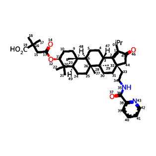 CC(C)C1=C2[C@H]3CC[C@@H]4[C@@]5(C)CC[C@H](OC(=O)CC(C)(C)C(=O)O)C(C)(C)[C@@H]5CC[C@@]4(C)[C@]3(C)CC[C@@]2(CCNC(=O)c2ccccn2)CC1=O